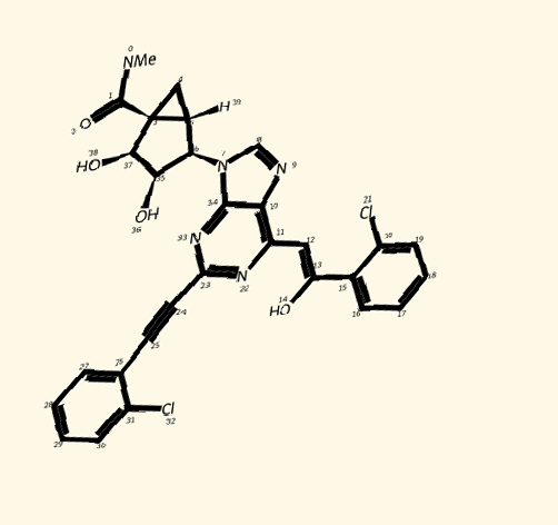 CNC(=O)[C@@]12C[C@@H]1[C@@H](n1cnc3c(/C=C(\O)c4ccccc4Cl)nc(C#Cc4ccccc4Cl)nc31)[C@@H](O)[C@H]2O